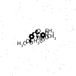 CCOC(=O)c1ccc(C[C@H]2CO[C@H](c3cc(OC)c(OC)c(OC)c3)[C@H]2CO)cc1